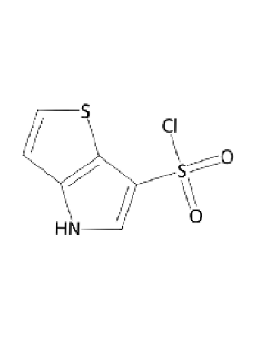 O=S(=O)(Cl)c1c[nH]c2ccsc12